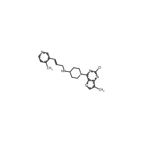 Cc1ccncc1C=CCNC1CCN(c2nc(Cl)nc3c(C)csc23)CC1